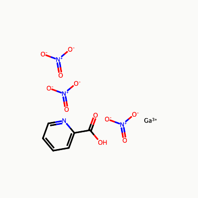 O=C(O)c1ccccn1.O=[N+]([O-])[O-].O=[N+]([O-])[O-].O=[N+]([O-])[O-].[Ga+3]